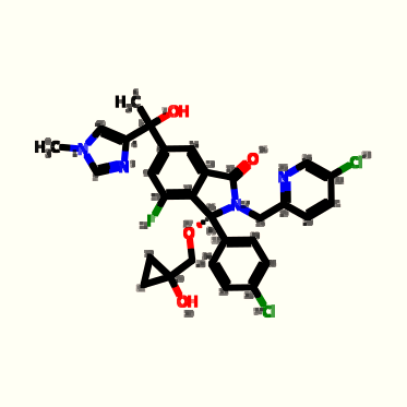 Cn1cnc(C(C)(O)c2cc(F)c3c(c2)C(=O)N(Cc2ccc(Cl)cn2)[C@@]3(OCC2(O)CC2)c2ccc(Cl)cc2)c1